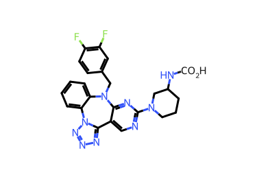 O=C(O)NC1CCCN(c2ncc3c(n2)N(Cc2ccc(F)c(F)c2)c2ccccc2-n2nnnc2-3)C1